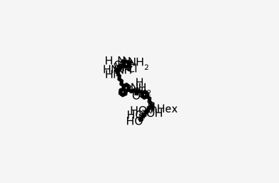 CCCCCCN(CCCc1ccc(NC(=O)[C@@H](N)Cc2ccc(CCCCNC(=N)NC(=O)c3nc(Cl)c(N)nc3N)c3ccccc23)cc1)C[C@H](O)[C@@H](O)C[C@H](O)CO